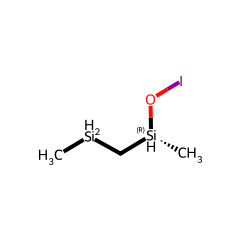 C[SiH2]C[Si@@H](C)OI